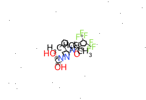 Cc1ccccc1-c1cc(N2C[C@H](O)C[C@@H]2CO)ncc1N(C)C(=O)C(C)(C)c1cc(C(F)(F)F)cc(C(F)(F)F)c1